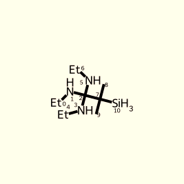 CCNC(NCC)(NCC)C(C)(C)[SiH3]